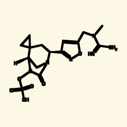 CN(Cc1cc([C@@H]2CC3(CC3)[C@@H]3CN2C(=O)N3OS(=O)(=O)O)no1)C(=N)N